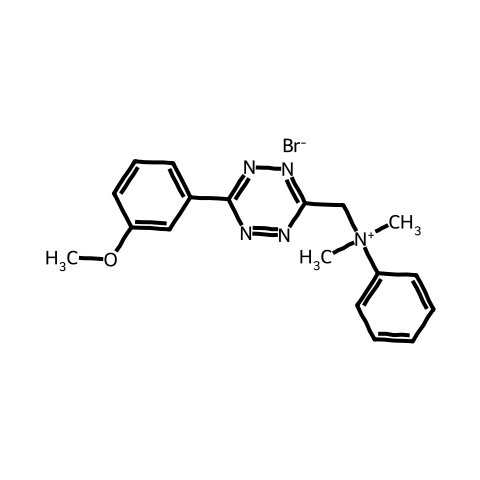 COc1cccc(-c2nnc(C[N+](C)(C)c3ccccc3)nn2)c1.[Br-]